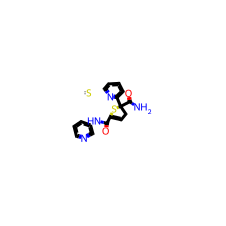 NC(=O)C1(c2ccccn2)CC=C(C(=O)Nc2cccnc2)S1.[S]